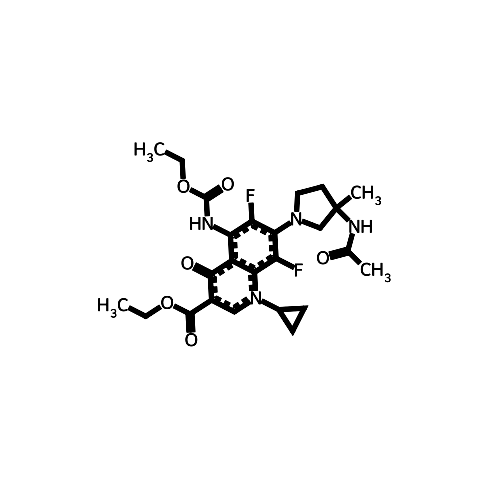 CCOC(=O)Nc1c(F)c(N2CCC(C)(NC(C)=O)C2)c(F)c2c1c(=O)c(C(=O)OCC)cn2C1CC1